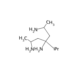 CC(N)CC(N)(CC(C)N)C(C)C